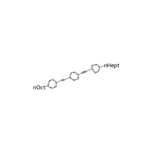 CCCCCCCCc1ccc(C#Cc2ccc(C#Cc3ccc(CCCCCCC)cc3)cc2)cc1